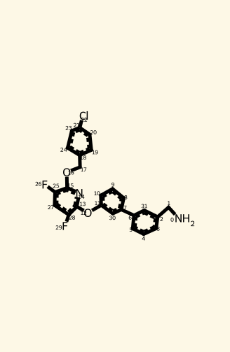 NCc1cccc(-c2cccc(Oc3nc(OCc4ccc(Cl)cc4)c(F)cc3F)c2)c1